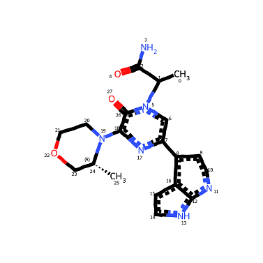 CC(C(N)=O)n1cc(-c2ccnc3[nH]ccc23)nc(N2CCOC[C@H]2C)c1=O